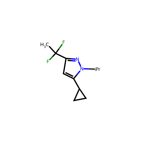 CC(C)n1nc(C(C)(F)F)cc1C1CC1